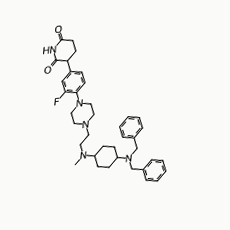 CN(CCN1CCN(c2ccc(C3CCC(=O)NC3=O)cc2F)CC1)C1CCC(N(Cc2ccccc2)Cc2ccccc2)CC1